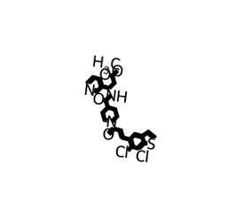 COC(=O)CC(NC(=O)C1CCN(C(=O)C=Cc2cc3ccsc3c(Cl)c2Cl)CC1)c1cccnc1